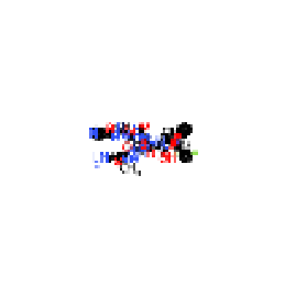 CC(=O)N[C@@H](CCCCN)C(=O)NCCNC(=O)[C@H](CCN(C(=O)CO)[C@@H](c1cc(-c2cc(F)ccc2F)cn1Cc1ccccc1)C(C)(C)C)NC(=O)C[C@H](NC(=O)[C@H](C)NC(=O)[C@H](C)NC(=O)Cc1ccncc1)C(N)=O